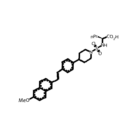 CCC[C@H](NS(=O)(=O)N1CCC(c2ccc(/C=C/c3ccc4cc(OC)ccc4c3)cc2)CC1)C(=O)O